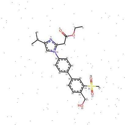 CCOC(=O)Cc1nc(C(C)C)cn1-c1ccc(-c2ccc(CO)c(S(C)(=O)=O)c2)cc1